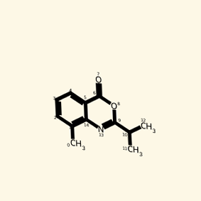 Cc1cccc2c(=O)oc(C(C)C)nc12